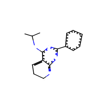 CC(C)Nc1nc(-c2ccccc2)nc2c1=CCCN=2